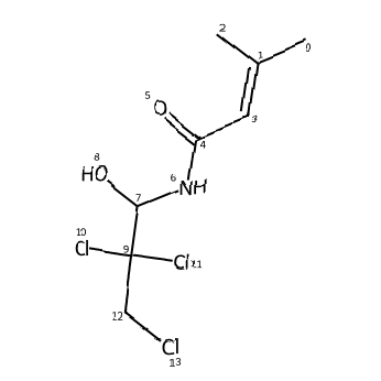 CC(C)=CC(=O)NC(O)C(Cl)(Cl)CCl